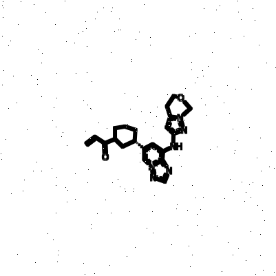 C=CC(=O)C1CCC[C@H](c2cc(Nc3cc4n(n3)COCC4)c3ncnn3c2)C1